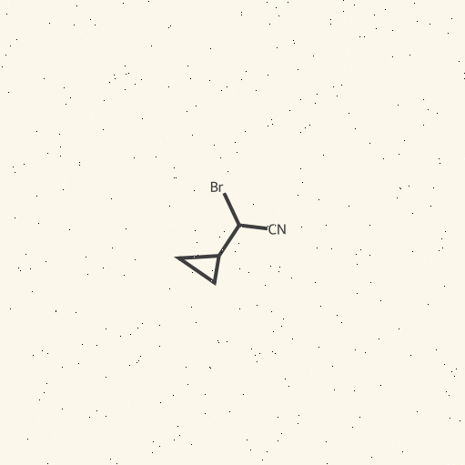 N#CC(Br)C1CC1